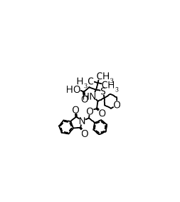 CC(C)(C)C1(CC(=O)O)NC(C(=O)OC(c2ccccc2)N2C(=O)c3ccccc3C2=O)C2(CCOCC2)S1